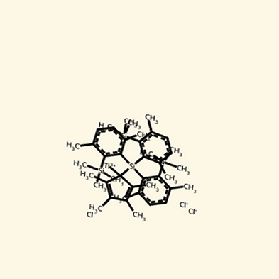 CC1=C(C)[C]([Ti+3])([Si](c2c(C)ccc(C)c2[Si](C)(C)C)(c2c(C)ccc(C)c2[Si](C)(C)C)c2c(C)ccc(C)c2[Si](C)(C)C)C(C)=C1C.[Cl-].[Cl-].[Cl-]